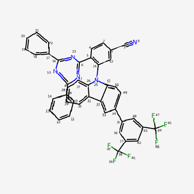 N#Cc1ccc(-c2nc(-c3ccccc3)nc(-c3ccccc3)n2)c(-n2c3ccccc3c3cc(-c4cc(C(F)(F)F)cc(C(F)(F)F)c4)ccc32)c1